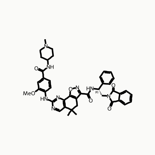 COc1cc(C(=O)NC2CCN(C)CC2)ccc1Nc1ncc2c(n1)-c1onc(C(=O)N[C@@H](CN3C(=O)c4ccccc4C3=O)c3ccccc3)c1CC2(C)C